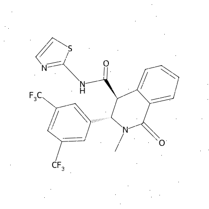 CN1C(=O)c2ccccc2[C@H](C(=O)Nc2nccs2)[C@H]1c1cc(C(F)(F)F)cc(C(F)(F)F)c1